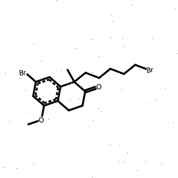 COc1cc(Br)cc2c1CCC(=O)C2(C)CCCCCBr